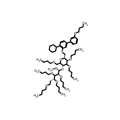 CCCCOCC[C@@H](OCCCC)C(OCCCC)[C@H](OCCCC)[C@@H](OC)O[C@@H]1C(COCCCC)O[C@@H](CSc2cc(-c3cccc(OCCCC)c3)ccc2C2CCCCC2)[C@@H](OCCCC)C1OCCCC